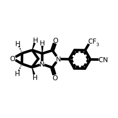 N#Cc1ccc(N2C(=O)[C@H]3[C@@H]4C[C@@H]([C@H]5O[C@@H]45)N3C2=O)cc1C(F)(F)F